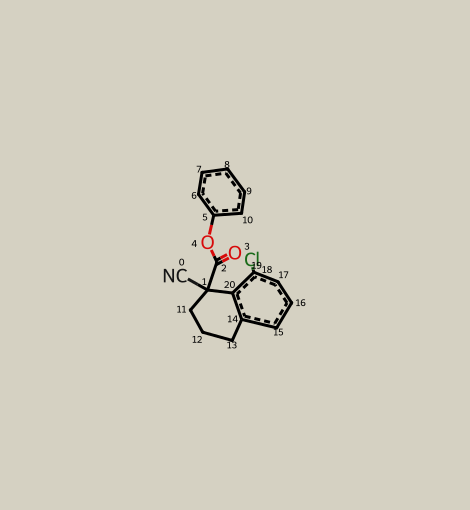 N#CC1(C(=O)Oc2ccccc2)CCCc2cccc(Cl)c21